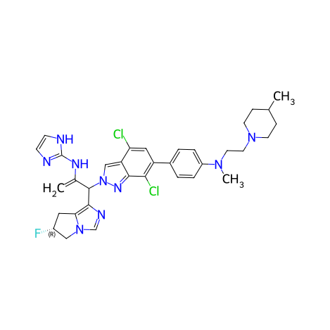 C=C(Nc1ncc[nH]1)C(c1ncn2c1C[C@@H](F)C2)n1cc2c(Cl)cc(-c3ccc(N(C)CCN4CCC(C)CC4)cc3)c(Cl)c2n1